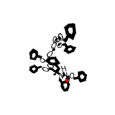 C[C@](Cc1ccc(OCOP(=O)(OCc2ccccc2)OCc2ccccc2)c(OCc2ccccc2)c1)(C(=O)OCc1ccccc1)N(Cc1ccccc1)NC(=O)OCc1ccccc1